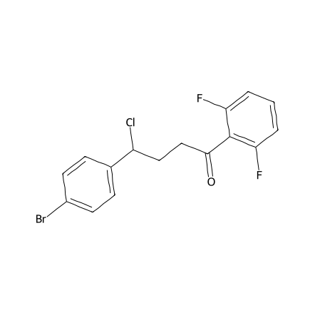 O=C(CCC(Cl)c1ccc(Br)cc1)c1c(F)cccc1F